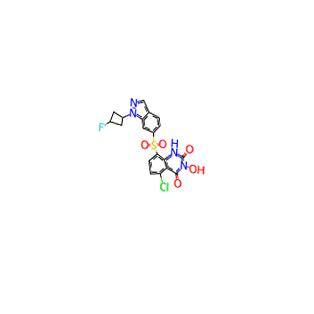 O=c1[nH]c2c(S(=O)(=O)c3ccc4cnn(C5CC(F)C5)c4c3)ccc(Cl)c2c(=O)n1O